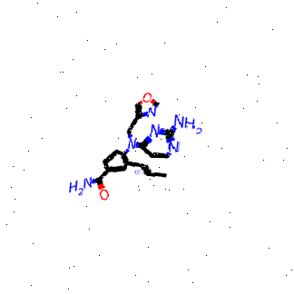 C/C=C/c1cc(C(N)=O)ccc1N(Cc1cocn1)c1ccnc(N)n1